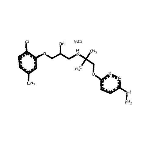 Cc1ccc(Cl)c(OCC(O)CNC(C)(C)COc2ccc(NN)nn2)c1.Cl